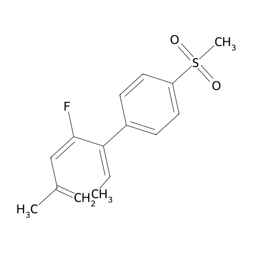 C=C(C)/C=C(F)\C(=C/C)c1ccc(S(C)(=O)=O)cc1